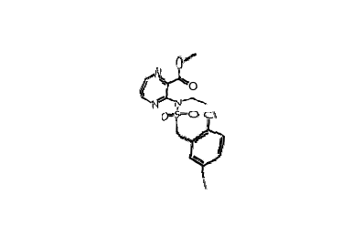 CCN(c1nccnc1C(=O)OC)S(=O)(=O)Cc1cc(I)ccc1Cl